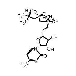 C=P(C)(C)CP(=C)(O)CP(=C)(O)CC[C@H]1O[C@@H](n2ccc(N)nc2=O)[C@@H](O)C1O